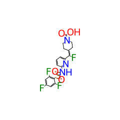 O=C(O)N1CCC(=C(F)c2cccc(NS(=O)(=O)c3c(F)cc(F)cc3F)n2)CC1